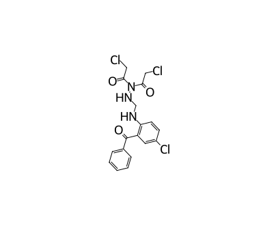 O=C(c1ccccc1)c1cc(Cl)ccc1NCNN(C(=O)CCl)C(=O)CCl